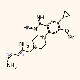 CC(C)Oc1cc(N2CCN(C/C(N)=C/C=C\N)CC2)c(C(=N)N=N)cc1C1CC1